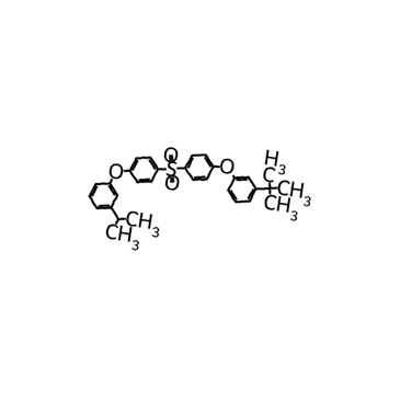 CC(C)c1cccc(Oc2ccc(S(=O)(=O)c3ccc(Oc4cccc(C(C)(C)C)c4)cc3)cc2)c1